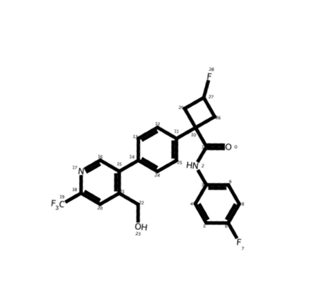 O=C(Nc1ccc(F)cc1)C1(c2ccc(-c3cnc(C(F)(F)F)cc3CO)cc2)CC(F)C1